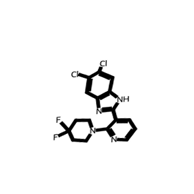 FC1(F)CCN(c2ncccc2-c2nc3cc(Cl)c(Cl)cc3[nH]2)CC1